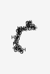 Cn1c(=O)n(C2CCC(=O)NC2=O)c2ccc(-c3ccc(CC(=O)Nc4cccc(CS(=O)(=O)N5CC[C@H](Nc6cccc(-c7sc(C(=O)OC(C)(C)C)c(OCC(=O)OC(C)(C)C)c7Cl)c6)CC5(C)C)c4)cc3F)cc21